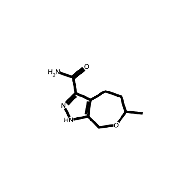 CC1CCc2c(C(N)=O)n[nH]c2CO1